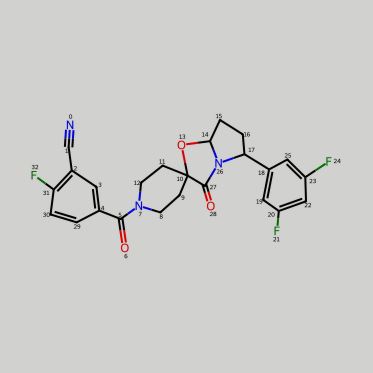 N#Cc1cc(C(=O)N2CCC3(CC2)OC2CCC(c4cc(F)cc(F)c4)N2C3=O)ccc1F